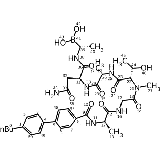 CCCCc1ccc(-c2ccc(C(=O)N[C@H](C)C(=O)NCC(=O)N(C)[C@H](C(=O)N[C@@H](C)C(=O)N[C@@H](CC(N)=O)C(=O)N[C@@H](C)B(O)O)C(C)O)cc2)cc1